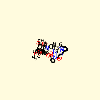 CCN1C[C@]2(OC(=O)c3ccccc3NC(=O)/C=C/c3cccc(C)n3)CC[C@H](OC)[C@]34C1[C@@H](C[C@H]23)[C@@]1(O)C[C@H](OC)C2[C@H]3C[C@@H]4[C@]1(O)[C@@H]23